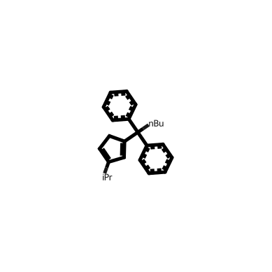 CCCCC(C1=CC(C(C)C)=CC1)(c1ccccc1)c1ccccc1